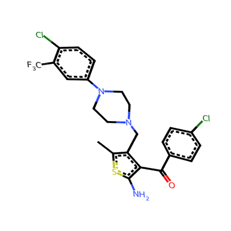 Cc1sc(N)c(C(=O)c2ccc(Cl)cc2)c1CN1CCN(c2ccc(Cl)c(C(F)(F)F)c2)CC1